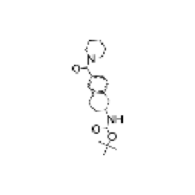 CC(C)(C)OC(=O)NC1CCc2cc(C(=O)N3CCCCC3)ccc2C1